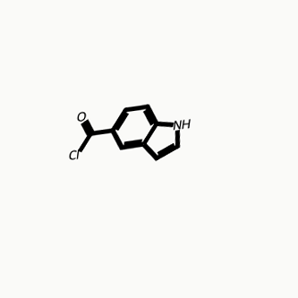 O=C(Cl)c1ccc2[nH]ccc2c1